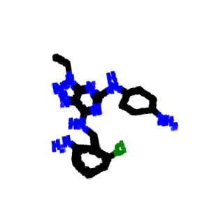 CCn1nnc2c(NCc3c(N)cccc3Cl)nc(NC3CCC(N)CC3)nc21